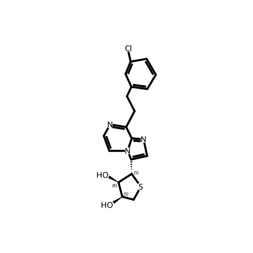 O[C@@H]1[C@H](O)CS[C@H]1c1cnc2c(CCc3cccc(Cl)c3)nccn12